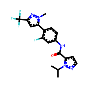 CC(C)n1nccc1C(=O)Nc1ccc(-c2cc(C(F)(F)F)nn2C)c(F)c1